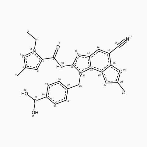 CCn1nc(C)cc1C(=O)Nc1nc2cc(C#N)c3oc(C)cc3c2n1Cc1ccc(P(O)O)cc1